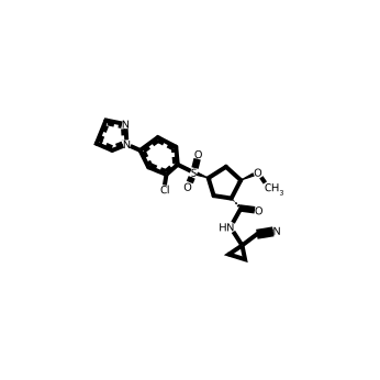 CO[C@@H]1C[C@H](S(=O)(=O)c2ccc(-n3cccn3)cc2Cl)C[C@H]1C(=O)NC1(C#N)CC1